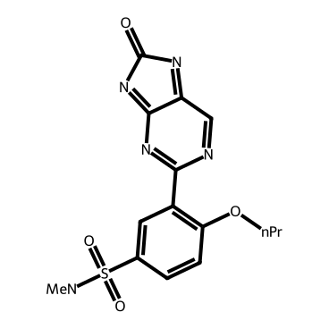 CCCOc1ccc(S(=O)(=O)NC)cc1-c1ncc2c(n1)=NC(=O)N=2